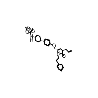 C=CC[C@@H]1C[C@@H](COc2ccc([C@H]3CC[C@@H](NC(=O)OC(C)(C)C)CC3)cc2)N(CCCc2ccccc2)C1=O